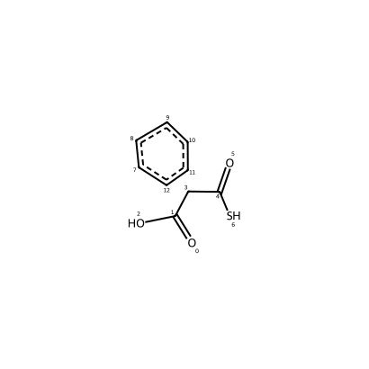 O=C(O)CC(=O)S.c1ccccc1